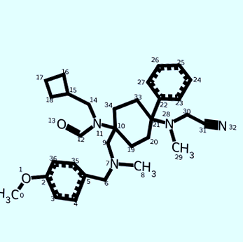 COc1ccc(CN(C)CC2(N(C=O)CC3CCC3)CCC(c3ccccc3)(N(C)CC#N)CC2)cc1